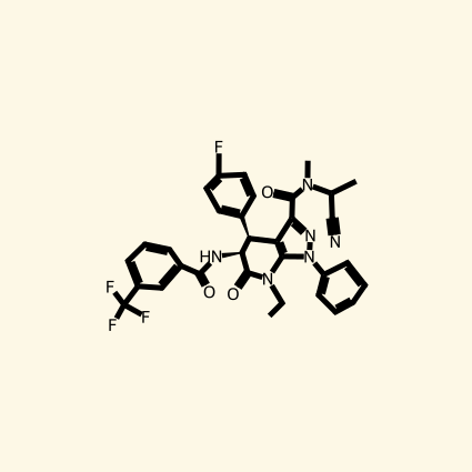 CCN1C(=O)[C@@H](NC(=O)c2cccc(C(F)(F)F)c2)[C@@H](c2ccc(F)cc2)c2c(C(=O)N(C)C(C)C#N)nn(-c3ccccc3)c21